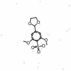 COc1cc(C2OCCO2)cc(OC)c1S(=O)(=O)Cl